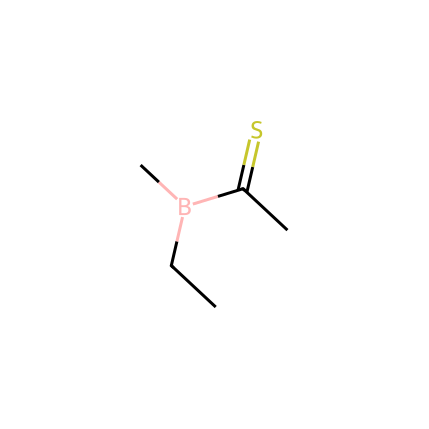 CCB(C)C(C)=S